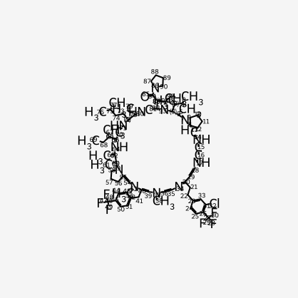 CC[C@H](C)[C@H]1C(C)NC2(CCCC2)CNCCNC=CC(CCc2ccc(C(F)(F)F)c(Cl)c2)=NC=CN(C)C=C(Cc2ccc(C(F)(F)F)cc2)N(C)C=C2CCCN2[C@@H](C)C(C)N[C@@H]([C@@H](C)CC)CN[C@@H](CCC(C)C)C(C)NCC2[C@@H](C(=O)N3CCCC3)C(C)N21